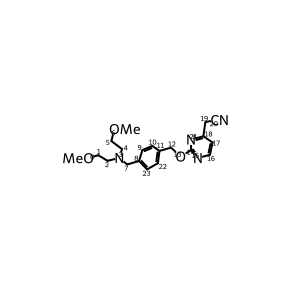 COCCN(CCOC)Cc1ccc(COc2nccc(CC#N)n2)cc1